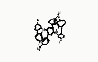 N#Cc1ccc(-c2cc(-n3c4cc(F)ccc4c4ccc(F)cc43)c(-c3ccc(C#N)cc3)cc2-n2c3cc(F)ccc3c3ccc(F)cc32)cc1